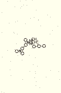 C=C/N=C(\N=C(/C)c1cccc(-c2ccc(-c3ccccc3)cc2)c1)n1c2ccccc2c2cc(-c3ccc4c(c3)c3ccccc3n4-c3ccccc3)ccc21